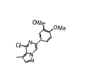 COc1ccc(-c2cn3ncc(C)c3c(Cl)n2)cc1OC